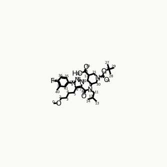 COCCCCc1c(C(=O)N(CC(C)C)C2CC(C(=O)O)CN(C(=O)OC(C)(C)C)C2)nnn1-c1ccc(F)c(C)c1